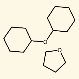 C1CCC(OC2CCCCC2)CC1.C1CCOC1